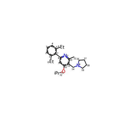 CCc1cccc(CC)c1-c1cc(OC(C)C)c(CN2CCCC2)c(C)n1